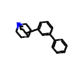 c1ccc(-c2cccc(C3CN4CCC3CC4)c2)cc1